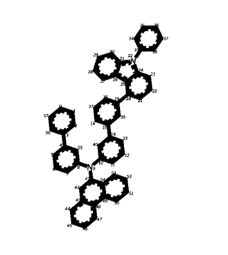 c1ccc(-c2cccc(N(c3cccc(-c4cccc(-c5cccc6c5c5ccccc5n6-c5ccccc5)c4)c3)c3cc4ccccc4c4ccccc34)c2)cc1